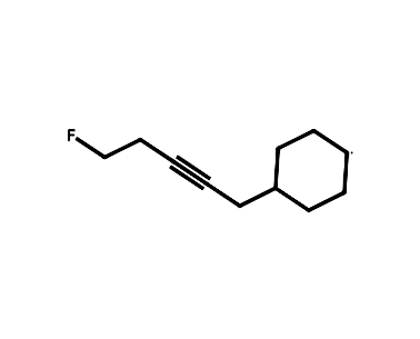 FCCC#CCC1CC[CH]CC1